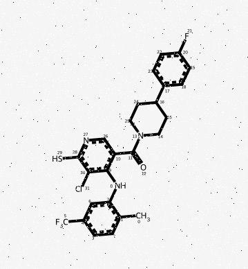 Cc1ccc(C(F)(F)F)cc1Nc1c(C(=O)N2CCC(c3ccc(F)cc3)CC2)cnc(S)c1Cl